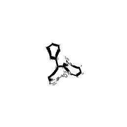 O=CC=C(c1ccccc1)c1ncccn1